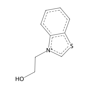 OCC[n+]1csc2ccccc21